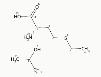 CC(C)O.CCSCC[C@H](N)C(=O)O